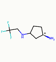 N[C@@H]1CCC(NCC(F)(F)F)C1